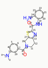 CN(C)c1cccc(C(=O)N2CCc3nc(C(=O)Nc4ccccc4N)sc3C2)c1